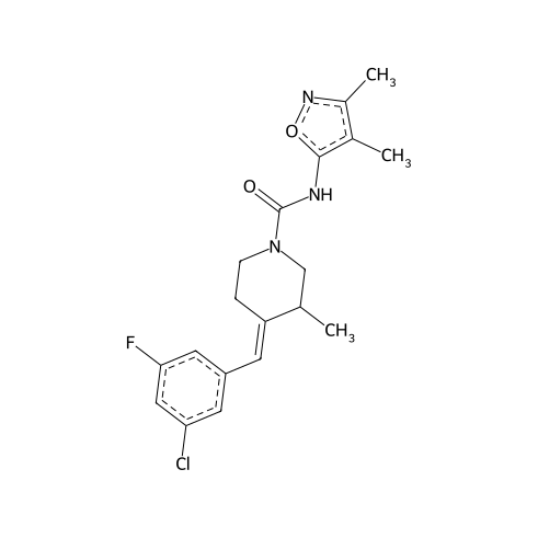 Cc1noc(NC(=O)N2CCC(=Cc3cc(F)cc(Cl)c3)C(C)C2)c1C